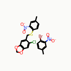 Cc1ccc(Br)c([N+](=O)[O-])c1.Cc1ccc(SCc2cc3c(cc2Cl)OCO3)c([N+](=O)[O-])c1